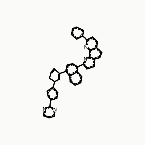 C1=CC(c2ccc(-c3ccc4ccc5ccc(-c6ccccc6)nc5c4n3)c3ccccc23)=CC(c2ccc(-c3ncccn3)cc2)C1